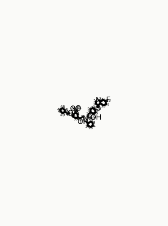 O=[N+]([O-])c1cc([C@H](O)CN(Cc2ccccc2)[C@H](CO)Cc2ccc(Oc3ccnc4cc(F)ccc34)cc2)ccc1OCc1ccccc1